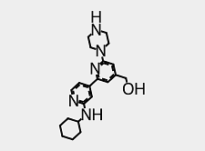 OCc1cc(-c2ccnc(NC3CCCCC3)c2)nc(N2CCNCC2)c1